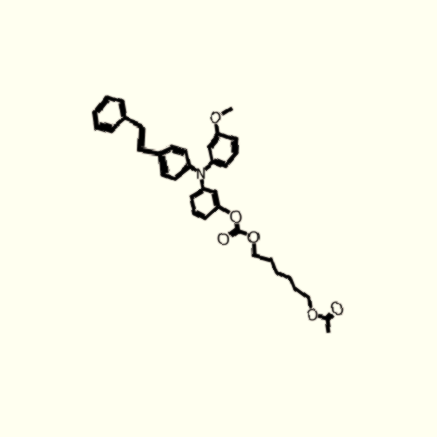 COc1cccc(N(c2ccc(C=Cc3ccccc3)cc2)c2cccc(OC(=O)OCCCCCCOC(C)=O)c2)c1